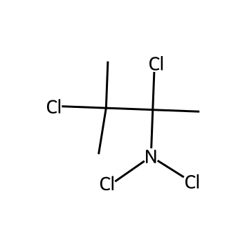 CC(C)(Cl)C(C)(Cl)N(Cl)Cl